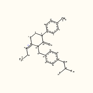 Cc1ccc(N2CS/C(=N/CC(F)(F)F)N(Cc3ccc(OC(F)F)cc3)C2=O)cc1